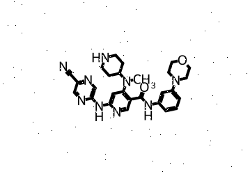 CN(c1cc(Nc2cnc(C#N)cn2)ncc1C(=O)Nc1cccc(N2CCOCC2)c1)C1CCNCC1